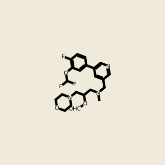 CN(Cc1cncc(-c2ccc(F)c(OC(F)F)c2)c1)CC(CN1CCOCC1)OC=O